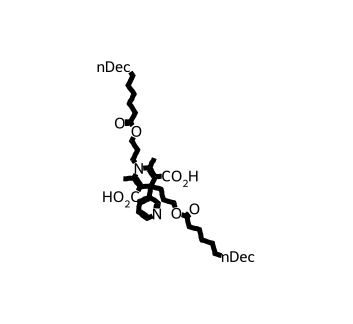 CCCCCCCCCCCCCCCC(=O)OCCCN1C(C)=C(C(=O)O)C(CCCOC(=O)CCCCCCCCCCCCCCC)(c2cccnc2)C(C(=O)O)=C1C